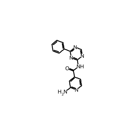 Nc1cc(C(=O)Nc2ncnc(-c3ccccc3)n2)ccn1